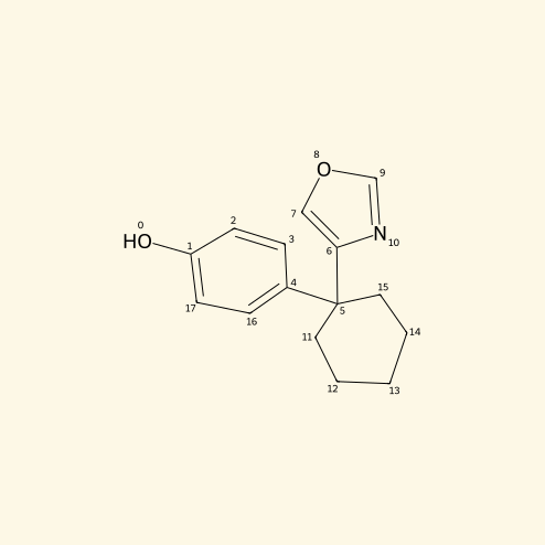 Oc1ccc(C2(c3cocn3)CCCCC2)cc1